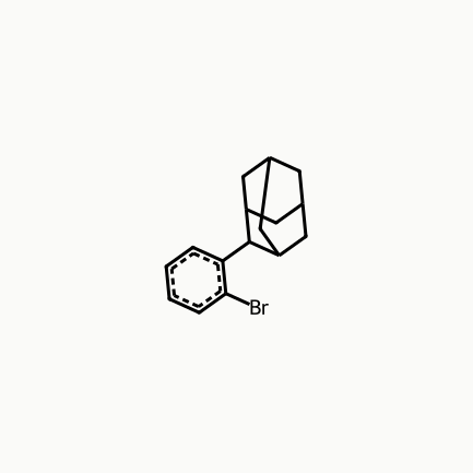 Brc1ccccc1C1C2CC3CC(C2)CC1C3